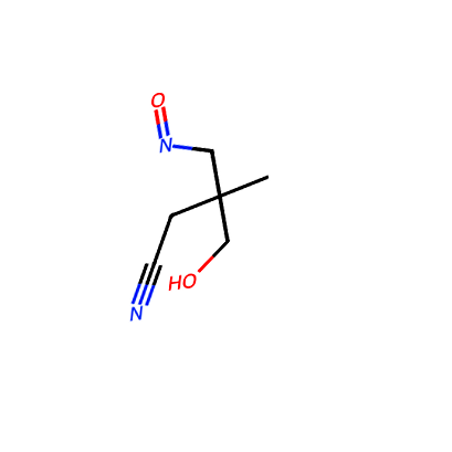 CC(CO)(CC#N)CN=O